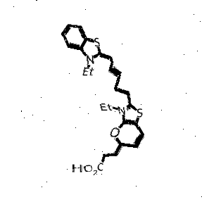 CCN1C(=CC=CC=Cc2sc3c([n+]2CC)OC(CCC(=O)O)C=C3)Sc2ccccc21